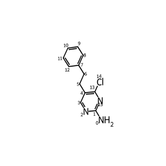 Nc1ncc(CCc2ccccc2)c(Cl)n1